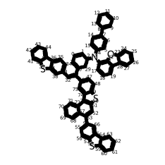 C1=CC(N(c2ccc(-c3ccccc3)cc2)c2cccc3c2oc2ccccc23)CC(/C(=C\c2ccc3c(c2)sc2ccccc23)c2ccc3sc4cc(-c5ccc6sc7ccccc7c6c5)c5ccccc5c4c3c2)=C1